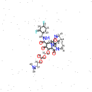 CC1=NO[C@@]2(CC[C@H](C)N3C[C@H]2n2cc(C(=O)NCc4ccc(F)cc4F)c(=O)c(OCOC(=O)OCCN(C)C)c2C3=O)C1